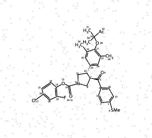 CSc1ccc(C(=O)[C@H]2CN(C(=O)Oc3ccc(Cl)cc3F)C[C@@H]2c2cc(C)c(OC(C)(C)C(C)=O)c(C)c2)cc1